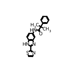 CC(C)(C(=O)Nc1ccc2[nH]c(-c3nccs3)nc2c1)c1ccccc1